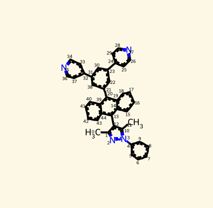 Cc1nn(-c2ccccc2)c(C)c1-c1c2ccccc2c(-c2cc(-c3ccncc3)cc(-c3ccncc3)c2)c2ccccc12